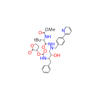 COC(=O)NC(C(=O)NN(Cc1ccc(-c2ccccn2)cc1)CC(O)C(Cc1ccccc1)NC(=O)OC1CCOC1=O)C(C)(C)C